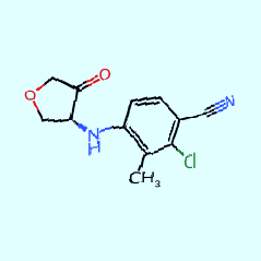 Cc1c(N[C@H]2COCC2=O)ccc(C#N)c1Cl